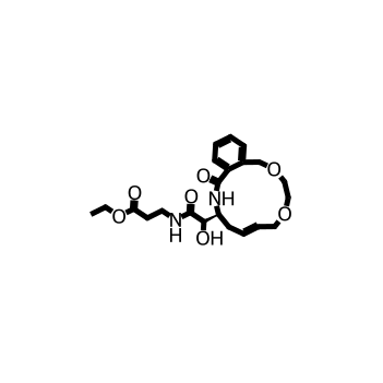 CCOC(=O)CCNC(=O)C(O)[C@@H]1C/C=C/COCCOCc2ccccc2C(=O)N1